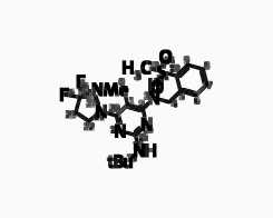 CNc1c(NCc2ccccc2S(C)(=O)=O)nc(NC(C)(C)C)nc1N1CCC(F)(F)C1